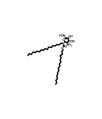 CCCCCCCCCCCCCCCCCCOC(=O)N(CCCCCCCCCCCCCCCCCC)[C@@H]1O[C@H](CO)[C@H](O)[C@H](O)[C@H]1N